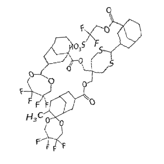 CC1CC2CC(C(=O)OCC3(COC(=O)C45CCCC(CC(C6OCC(F)(F)C(F)(F)CO6)C4)C5)CSC(C4CC5CCCC(C(=O)OCC(F)(F)S(=O)(=O)O)(C5)C4)SC3)CC(C2)C12OCC(F)(F)C(F)(F)CO2